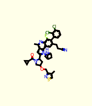 Cc1csnc1COC1CC(c2cc3c(C)nc4c(F)c(-c5cccc(Cl)c5Cl)c(CCC#N)cc4c3n2C2C3CNC2C3)N(C(=O)C2CC2)C1